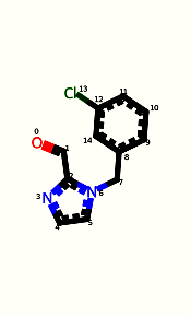 O=Cc1nccn1Cc1cccc(Cl)c1